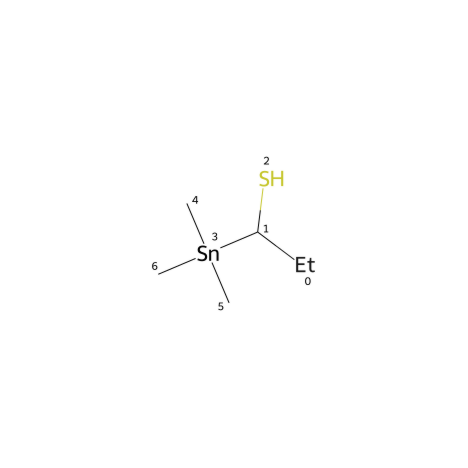 CC[CH](S)[Sn]([CH3])([CH3])[CH3]